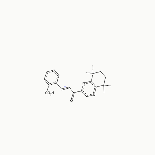 CC1(C)CCC(C)(C)c2nc(C(=O)/C=C/c3ccccc3C(=O)O)cnc21